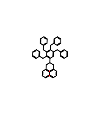 c1ccc(C[C](Cc2ccccc2)c2cc(Cc3ccccc3)c(Cc3ccccc3)c(Cc3ccccc3)c2Cc2ccccc2)cc1